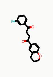 O=C(CCC(=O)c1ccc2c(c1)CCCO2)c1cccc(F)c1